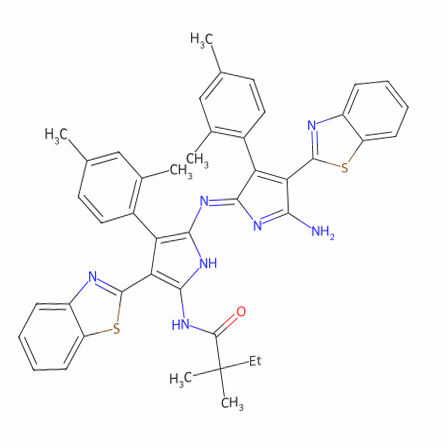 CCC(C)(C)C(=O)Nc1[nH]c(/N=C2\N=C(N)C(c3nc4ccccc4s3)=C2c2ccc(C)cc2C)c(-c2ccc(C)cc2C)c1-c1nc2ccccc2s1